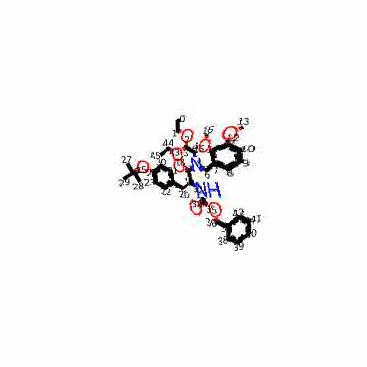 CCOC(CN(Cc1cccc(OC)c1OC)C(=O)[C@H](Cc1ccc(OC(C)(C)C)cc1)NC(=O)OCc1ccccc1)OCC